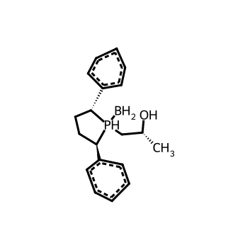 B[PH]1(C[C@@H](C)O)[C@@H](c2ccccc2)CC[C@@H]1c1ccccc1